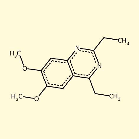 CCc1nc(CC)c2cc(OC)c(OC)cc2n1